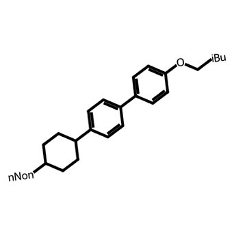 CCCCCCCCCC1CCC(c2ccc(-c3ccc(OCC(C)CC)cc3)cc2)CC1